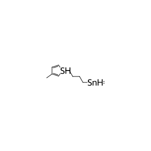 CC1=C[SH](CCC[CH2][SnH])C=C1